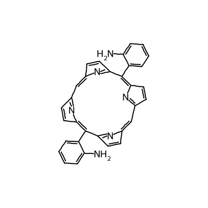 Nc1ccccc1C1=C2C=CC(=N2)C=C2C=CC(=N2)C(c2ccccc2N)=C2C=CC(=N2)C=C2C=CC1=N2